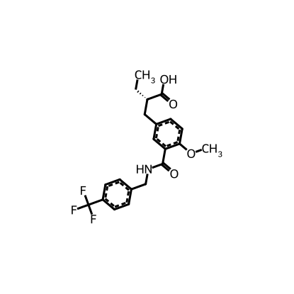 CC[C@@H](Cc1ccc(OC)c(C(=O)NCc2ccc(C(F)(F)F)cc2)c1)C(=O)O